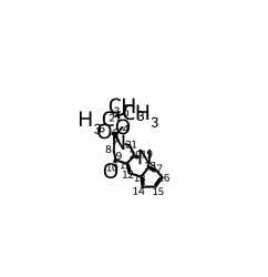 CC(C)(C)OC(=O)N1CC(=O)c2cc3ccccc3nc2C1